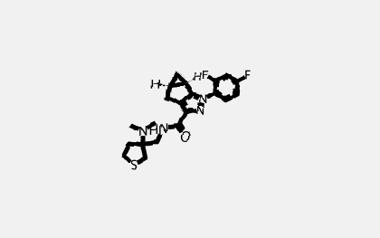 CN(C)C1(CNC(=O)c2nn(-c3ccc(F)cc3F)c3c2C[C@H]2C[C@@H]32)CCSC1